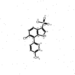 Cc1ccc(-c2c(Cl)ccc3c(S(=O)(=O)Cl)c[nH]c23)nn1